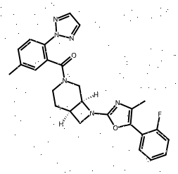 Cc1ccc(-n2nccn2)c(C(=O)N2CC[C@@H]3CN(c4nc(C)c(-c5ccccc5F)o4)[C@@H]3C2)c1